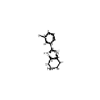 Cc1cccc(-c2nc3c(s2)CNCC3)c1